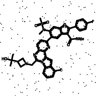 CNC(=O)c1c(-c2ccc(F)cc2)oc2cc(N(C)S(C)(=O)=O)c(-c3ccc4nc(CN5CC(C(C)(C)O)C5)n5c6cccc(F)c6cc5c4n3)cc12